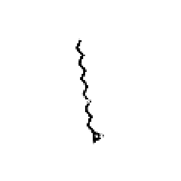 [CH2]CCCCCCCOCCCC1CO1